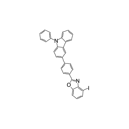 Ic1cccc2oc(-c3ccc(-c4ccc5c(c4)c4ccccc4n5-c4ccccc4)cc3)nc12